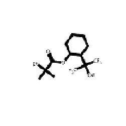 CCC(C)(C)C(=O)OC1CCCCC1C(O)(C(F)(F)F)C(F)(F)F